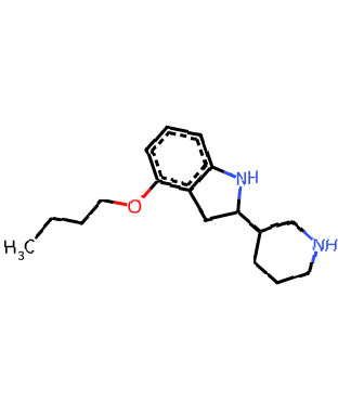 CCCCOc1cccc2c1CC(C1CCCNC1)N2